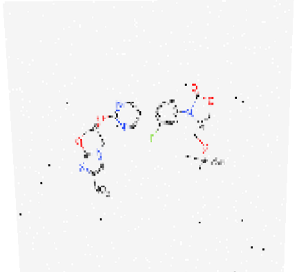 CC(C)(C)[Si](C)(C)OC[C@H]1COC(=O)N1c1ccc(-c2cnc(O[C@@H]3COc4nc([N+](=O)[O-])cn4C3)nc2)c(F)c1